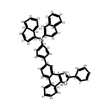 c1ccc(-c2nc3c4cc(-c5ccc(N(c6ccc7ccccc7c6)c6cccc7ccccc67)cc5)ccc4c4ccccc4c3o2)cc1